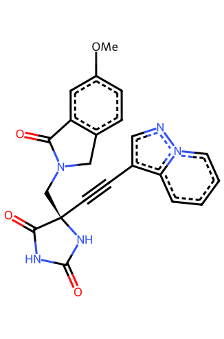 COc1ccc2c(c1)C(=O)N(C[C@@]1(C#Cc3cnn4ccccc34)NC(=O)NC1=O)C2